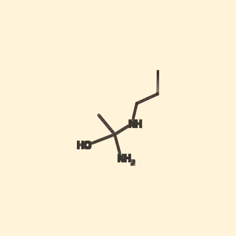 CCCNC(C)(N)O